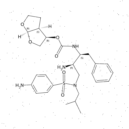 CC(C)CN(C[C@@H](N)[C@H](Cc1ccccc1)NC(=O)O[C@H]1CO[C@H]2OCC[C@H]21)S(=O)(=O)c1ccc(N)cc1